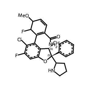 COC1C=CC(C(N)=O)=C(c2c(Cl)c(F)cc3c2[C@H](C)[C@](c2ccccc2)(C2CCCN2)O3)C1F